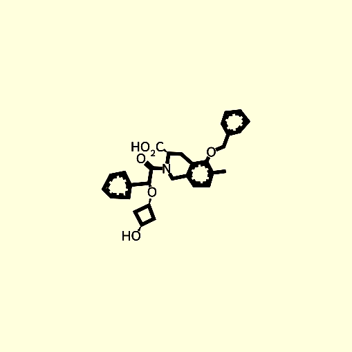 Cc1ccc2c(c1OCc1ccccc1)C[C@@H](C(=O)O)N(C(=O)[C@@H](O[C@H]1C[C@@H](O)C1)c1ccccc1)C2